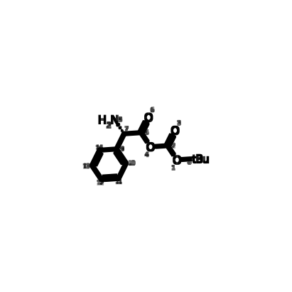 CC(C)(C)OC(=O)OC(=O)[C@@H](N)c1ccccc1